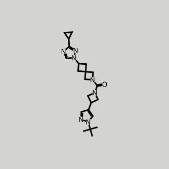 CC(C)(C)n1cc(C2CN(C(=O)N3CC4(CC(n5cnc(C6CC6)n5)C4)C3)C2)cn1